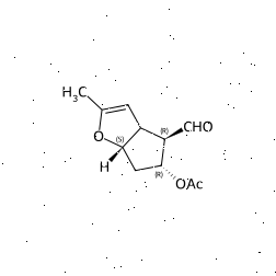 CC(=O)O[C@@H]1C[C@@H]2OC(C)=CC2[C@H]1C=O